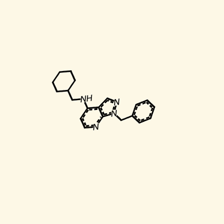 c1ccc(Cn2ncc3c(NCC4CCCCC4)ccnc32)cc1